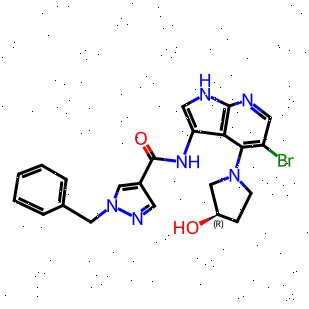 O=C(Nc1c[nH]c2ncc(Br)c(N3CC[C@@H](O)C3)c12)c1cnn(Cc2ccccc2)c1